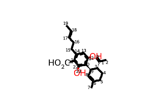 C=C(C)[C@@H]1CCC(C)=C[C@H]1c1c(O)cc(CC/C=C/C)c(C(=O)O)c1O